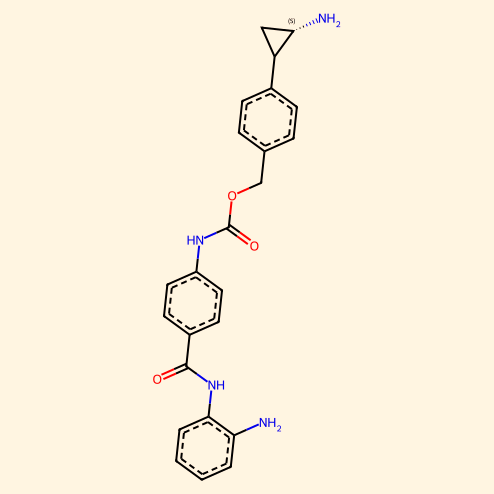 Nc1ccccc1NC(=O)c1ccc(NC(=O)OCc2ccc(C3C[C@@H]3N)cc2)cc1